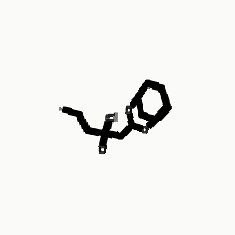 [CH2]CCC(Cl)(Cl)C[C]1OC2CCCC(C2)O1